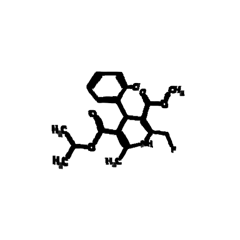 COC(=O)C1=C(CF)NC(C)=C(C(=O)OC(C)C)C1c1ccccc1Cl